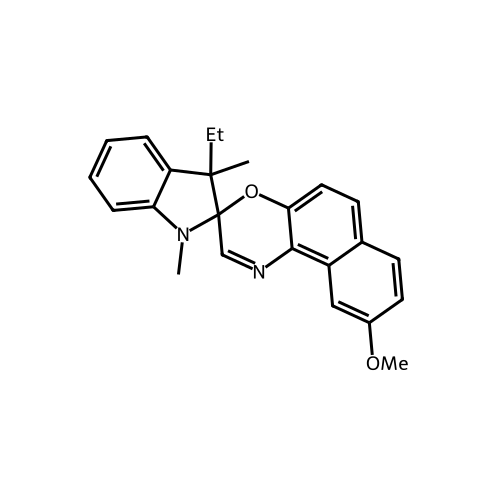 CCC1(C)c2ccccc2N(C)C12C=Nc1c(ccc3ccc(OC)cc13)O2